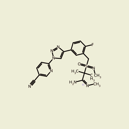 CN=S(=O)(Cc1cc(-c2cn(-c3ccc(C#N)cn3)nn2)ccc1F)C(C)(C)/C(N)=N\C